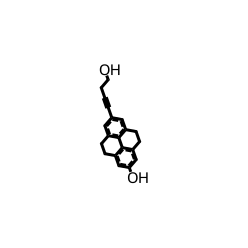 OCCC#Cc1cc2c3c(c1)CCc1cc(O)cc(c1-3)CC2